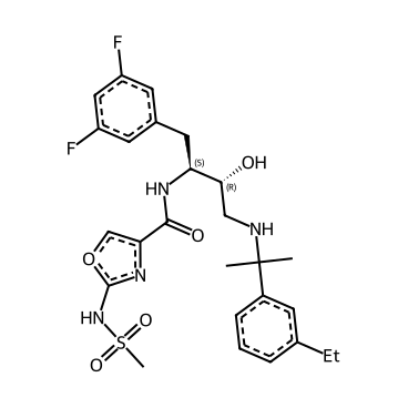 CCc1cccc(C(C)(C)NC[C@@H](O)[C@H](Cc2cc(F)cc(F)c2)NC(=O)c2coc(NS(C)(=O)=O)n2)c1